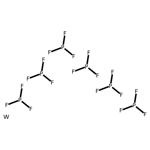 FP(F)F.FP(F)F.FP(F)F.FP(F)F.FP(F)F.FP(F)F.[W]